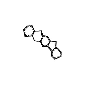 C1=c2cc3c(cc2Cc2ccccc21)=c1ccccc1=C3